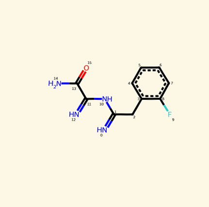 N=C(Cc1ccccc1F)NC(=N)C(N)=O